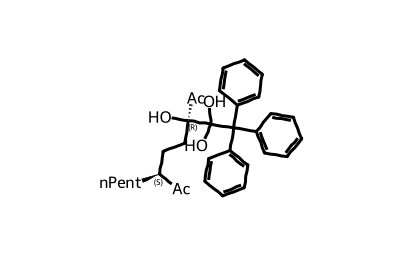 CCCCC[C@@H](CC[C@](O)(C(C)=O)C(O)(O)C(c1ccccc1)(c1ccccc1)c1ccccc1)C(C)=O